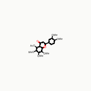 COc1ccc(-c2cc(=O)c3c(OC(C)=O)c(OC)c(OC)c(OC)c3o2)cc1OC